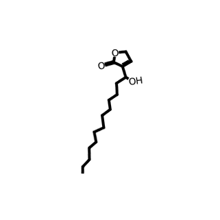 CCCCCCCCCCCCC(O)C1=CCOC1=O